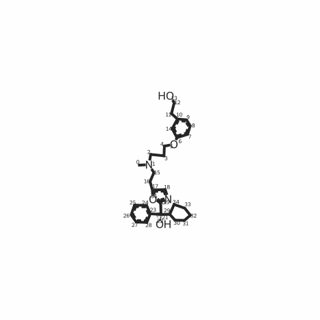 CN(CCCOc1cccc(CCO)c1)CCc1cnc([C@](O)(c2ccccc2)C2CCCCC2)o1